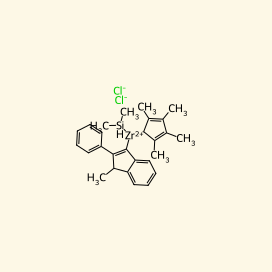 CC1=C(C)[CH]([Zr+2]([C]2=C(c3ccccc3)C(C)c3ccccc32)[SiH](C)C)C(C)=C1C.[Cl-].[Cl-]